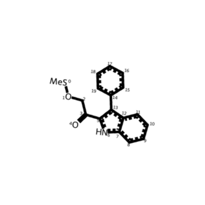 CSOCC(=O)c1[nH]c2ccccc2c1-c1ccccc1